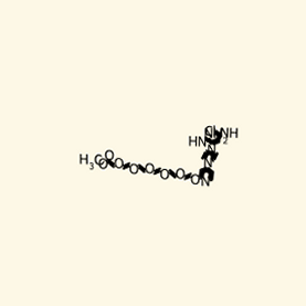 COC(=O)COCCOCCOCCOCCOCCOc1cc(N2C=C3CC2CN3/C(=C/C(=N)Cl)C(=N)N)ccn1